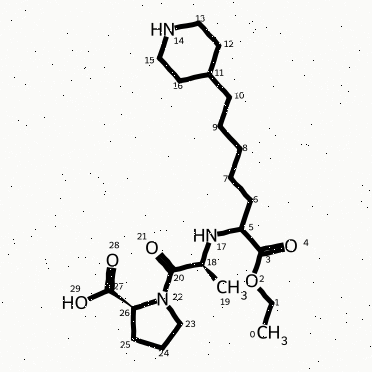 CCOC(=O)C(CCCCCC1CCNCC1)N[C@@H](C)C(=O)N1CCC[C@H]1C(=O)O